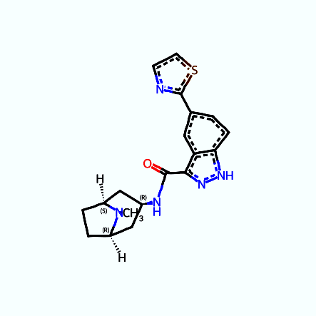 CN1[C@@H]2CC[C@H]1C[C@@H](NC(=O)c1n[nH]c3ccc(-c4nccs4)cc13)C2